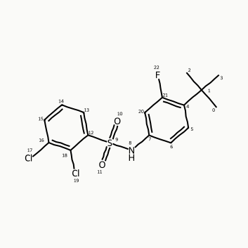 CC(C)(C)c1ccc(NS(=O)(=O)c2cccc(Cl)c2Cl)cc1F